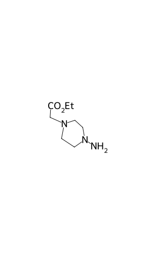 CCOC(=O)CN1CCN(N)CC1